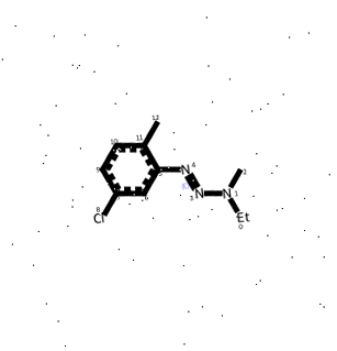 CCN(C)/N=N/c1cc(Cl)ccc1C